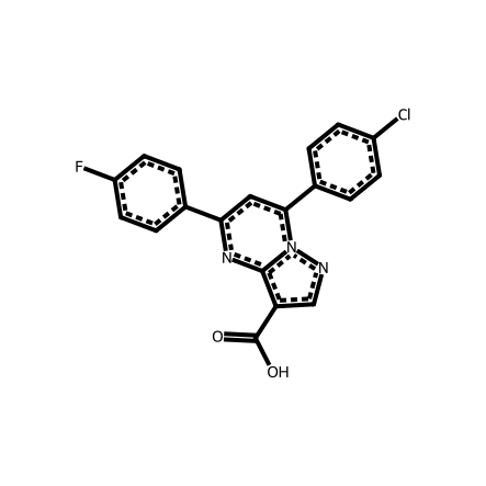 O=C(O)c1cnn2c(-c3ccc(Cl)cc3)cc(-c3ccc(F)cc3)nc12